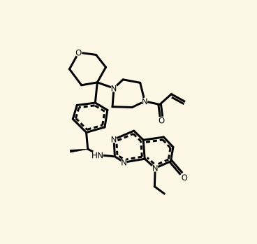 C=CC(=O)N1CCN(C2(c3ccc([C@H](C)Nc4ncc5ccc(=O)n(CC)c5n4)cc3)CCOCC2)CC1